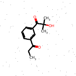 CCC(=O)c1cccc(C(=O)C(C)(C)O)c1